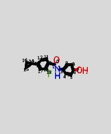 O=C(Nc1ccc(O)cc1)c1ccc(C2CC2)cc1F